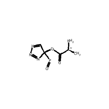 C[C@H](N)C(=O)OC1(P=O)C=NN=N1